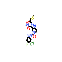 CSCC1Cn2nc3c(c2C(=O)N(C)O1)CN(C(=O)Nc1ccc(F)c(Cl)c1)CC3